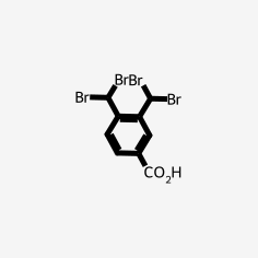 O=C(O)c1ccc(C(Br)Br)c(C(Br)Br)c1